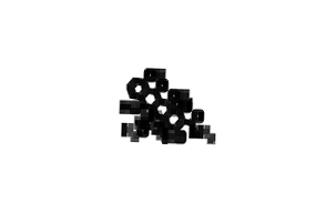 CN(C)[C@@H]1C(O)=C(C(N)=O)C(=O)[C@@]2(O)C(O)=C3C(=O)c4c(O)cccc4[C@@](C)(O)[C@H]3[C@H](O)[C@@H]12.O